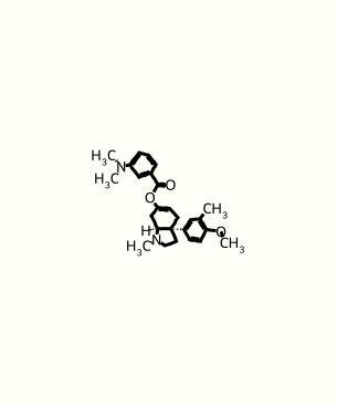 COc1ccc([C@@]23CC=C(OC(=O)c4cccc(N(C)C)c4)C[C@@H]2N(C)CC3)cc1C